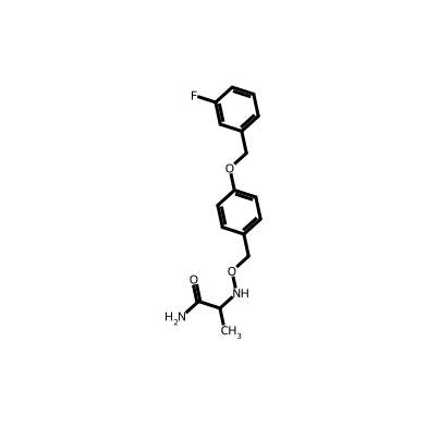 CC(NOCc1ccc(OCc2cccc(F)c2)cc1)C(N)=O